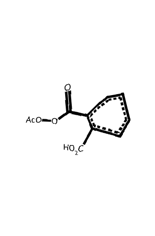 CC(=O)OOC(=O)c1ccccc1C(=O)O